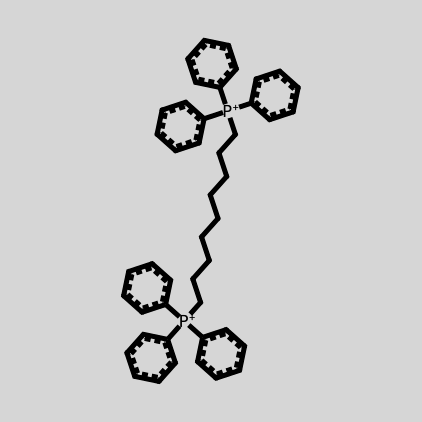 c1ccc([P+](CCCCCCCCC[P+](c2ccccc2)(c2ccccc2)c2ccccc2)(c2ccccc2)c2ccccc2)cc1